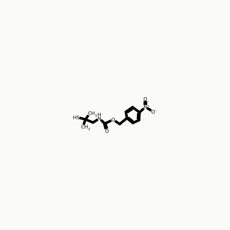 CC(C)(S)CNC(=O)OCc1ccc([N+](=O)[O-])cc1